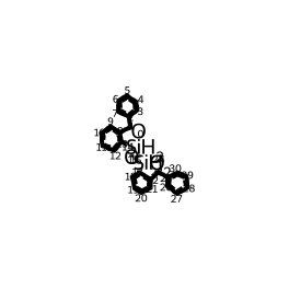 O=C(c1ccccc1)c1ccccc1[SiH2]O[SiH2]c1ccccc1C(=O)c1ccccc1